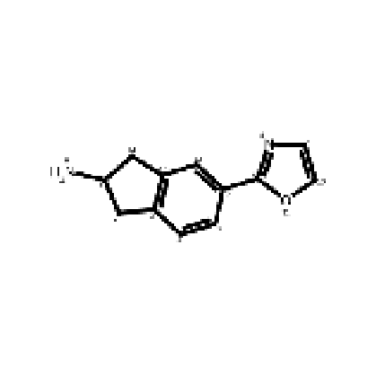 NC1Cc2ccc(-c3ncco3)cc2C1